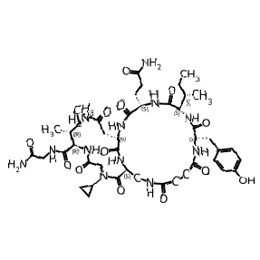 CC[C@@H](C)[C@@H](NC(=O)CN(C(=O)[C@@H]1CNC(=O)CCC(=O)N[C@@H](Cc2ccc(O)cc2)C(=O)N[C@@H]([C@@H](C)CC)C(=O)N[C@@H](CCC(N)=O)C(=O)N[C@@H](CC(N)=O)C(=O)N1)C1CC1)C(=O)NCC(N)=O